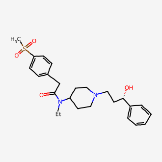 CCN(C(=O)Cc1ccc(S(C)(=O)=O)cc1)C1CCN(CC[C@H](O)c2ccccc2)CC1